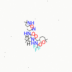 CC1(C)C[C@@H](C[C@@H](C#N)NC(=O)[C@@H]2[C@@H]3[C@H](CN2C(=O)[C@@H](NC(=O)C(F)(F)F)C2CCCC(C)(C)OC2)C3(C)C)C(=O)N1